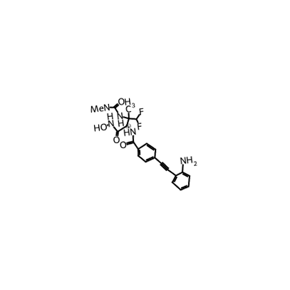 CNC(=O)NC(C)(C(F)F)[C@H](NC(=O)c1ccc(C#Cc2ccccc2N)cc1)C(=O)NO